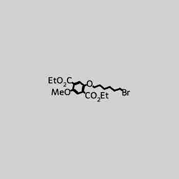 CCOC(=O)c1cc(OCCCCCCBr)c(C(=O)OCC)cc1OC